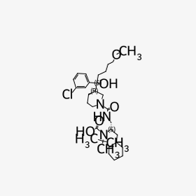 COCCCC[C@@](O)(c1cccc(Cl)c1)[C@@H]1CCCN(C(=O)NC[C@H](CC2CCCCC2)N(C(=O)O)C(C)(C)C)C1